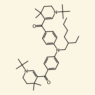 CCCCC(CC)CN(c1ccc(C(=O)C2=CN(C(C)(C)C)CCC2(C)C)cc1)c1ccc(C(=O)C2=CN(C(C)(C)C)CCC2(C)C)cc1